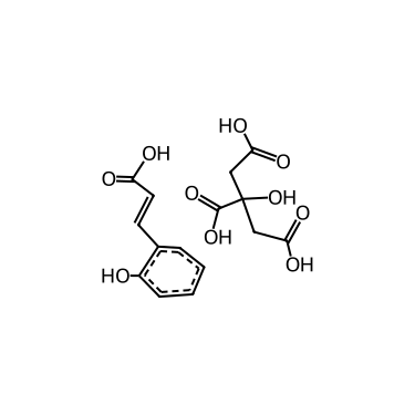 O=C(O)C=Cc1ccccc1O.O=C(O)CC(O)(CC(=O)O)C(=O)O